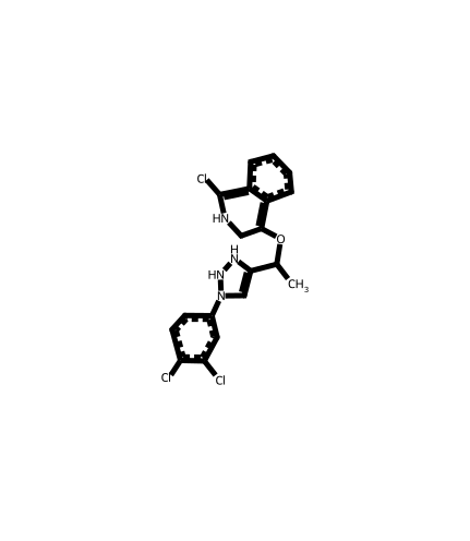 CC(OC1=c2ccccc2=C(Cl)NC1)C1=CN(c2ccc(Cl)c(Cl)c2)NN1